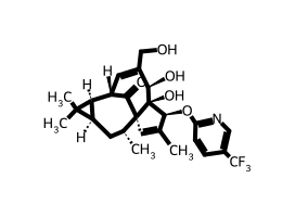 CC1=C[C@]23C(=O)[C@@H](C=C(CO)[C@@H](O)[C@]2(O)[C@H]1Oc1ccc(C(F)(F)F)cn1)[C@H]1[C@@H](C[C@H]3C)C1(C)C